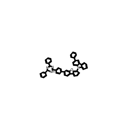 c1ccc(C2=NC(c3ccccc3)NC(c3ccc(-c4ccc5c(c4)oc4c(-n6c7ccccc7c7cc(-c8ccccc8)ccc76)cccc45)cc3)=N2)cc1